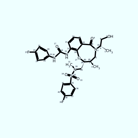 C[C@@H]1CN([C@@H](C)CO)C(=O)c2cccc(NC(=O)Nc3ccc(F)cc3)c2O[C@H]1CN(C)S(=O)(=O)c1ccc(F)cc1